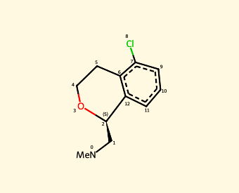 CNC[C@H]1OCCc2c(Cl)cccc21